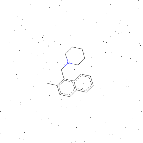 Cc1ccc2ccccc2c1CN1CCCCC1